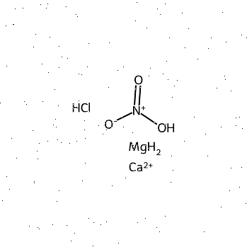 Cl.O=[N+]([O-])O.[Ca+2].[MgH2]